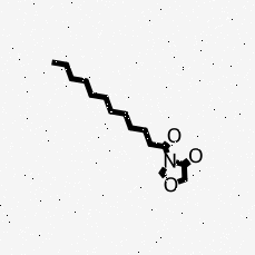 CCCCCCCCCCCC(=O)N1COCC1=O